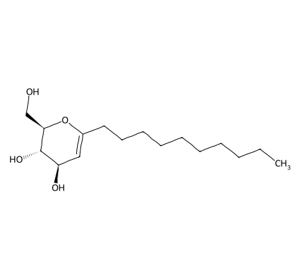 CCCCCCCCCCC1=C[C@@H](O)[C@H](O)[C@@H](CO)O1